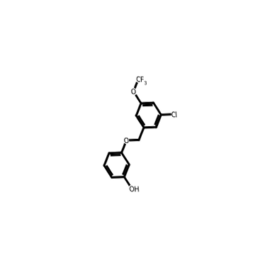 Oc1cccc(OCc2cc(Cl)cc(OC(F)(F)F)c2)c1